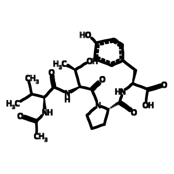 CC(=O)N[C@H](C(=O)N[C@H](C(=O)N1CCC[C@H]1C(=O)N[C@@H](Cc1ccc(O)cc1)C(=O)O)[C@@H](C)O)C(C)C